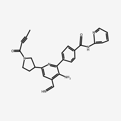 CC#CC(=O)N1CCC(c2cc(C=N)c(N)c(-c3ccc(C(=O)Nc4ccccn4)cc3)n2)C1